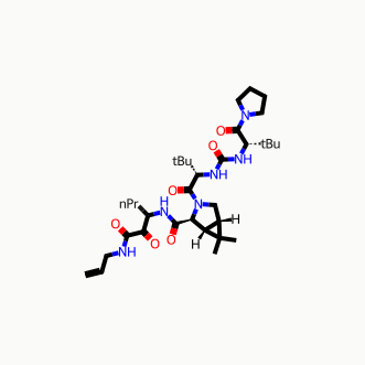 C=CCNC(=O)C(=O)C(CCC)NC(=O)[C@@H]1[C@@H]2[C@H](CN1C(=O)[C@@H](NC(=O)N[C@H](C(=O)N1CCCC1)C(C)(C)C)C(C)(C)C)C2(C)C